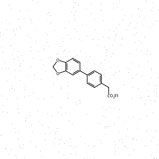 CCOC(=O)Cc1ccc(-c2ccc3c(c2)OCO3)cc1